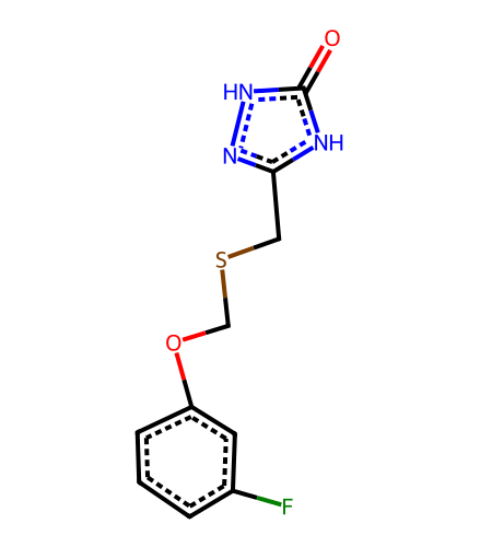 O=c1[nH]nc(CSCOc2cccc(F)c2)[nH]1